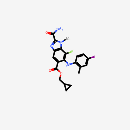 CC(=O)n1c(C(N)=O)nc2cc(C(=O)OCC3CC3)c(Nc3ccc(I)cc3C)c(F)c21